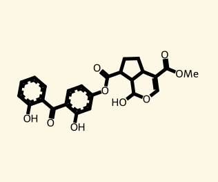 COC(=O)C1=COC(O)C2C(C(=O)Oc3ccc(C(=O)c4ccccc4O)c(O)c3)CCC12